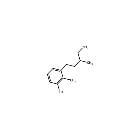 Cc1cccc(CCC(C)CN)c1C